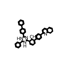 CC1C(c2ccc(-c3ccc4c(n3)CCC=C4)cc2)=CC=CC1C1=NC(c2ccc(-c3ccccc3)cc2)NC(c2ccccc2)N1